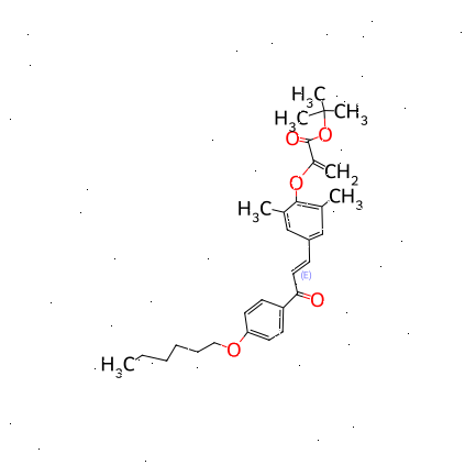 C=C(Oc1c(C)cc(/C=C/C(=O)c2ccc(OCCCCCC)cc2)cc1C)C(=O)OC(C)(C)C